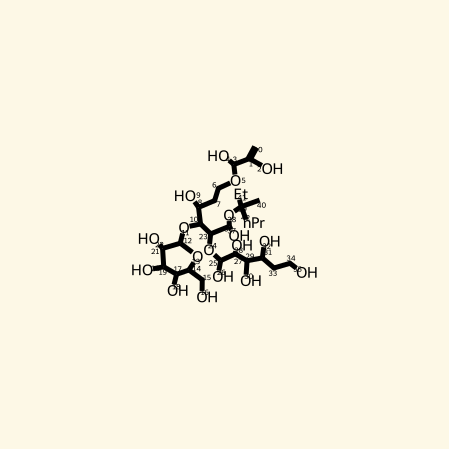 C=C(O)C(O)OCCC(O)C(OC1OC(CO)C(O)C(O)C1O)C(OC(O)C(O)C(O)C(O)CCO)C(O)OC(C)(CC)CCC